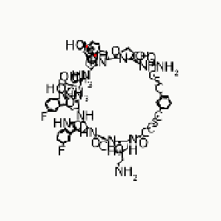 C[C@H]1NC(=O)[C@H](CCCCN)NC(=O)CCSCc2cccc(c2)CSC[C@@H](C(N)=O)NC(=O)[C@]2(C)CCCN2C(=O)[C@H](Cc2ccc(O)cc2)NC(=O)[C@H](Cc2cnc[nH]2)NC(=O)[C@H](C(C)(C)C(O)O)NC(=O)[C@H](Cc2c[nH]c3ccc(F)cc23)NC(=O)[C@H](Cc2c[nH]c3ccc(F)cc23)NC1=O